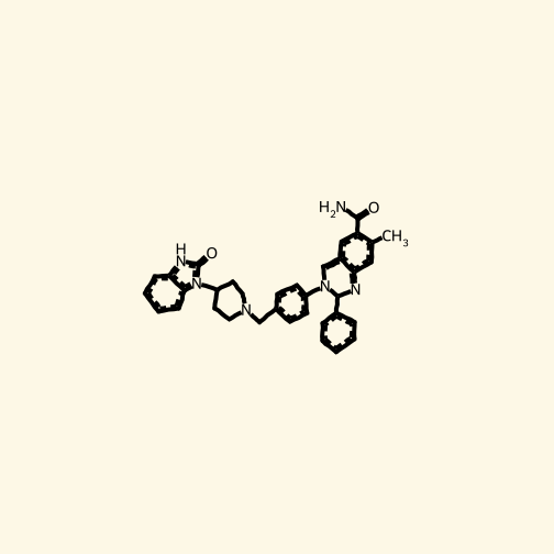 Cc1cc2c(cc1C(N)=O)=CN(c1ccc(CN3CCC(n4c(=O)[nH]c5ccccc54)CC3)cc1)C(c1ccccc1)N=2